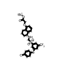 CC(C)(C)OC(=O)COc1cccc2c1CCC[C@H]2NCS(=O)(=O)c1cc(Sc2ccc(Cl)cc2)cc(C(F)(F)F)c1